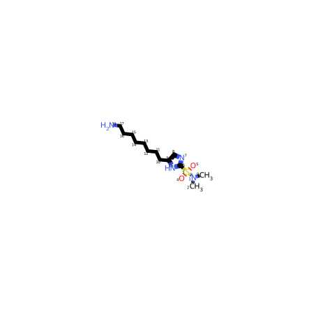 CN(C)S(=O)(=O)c1ncc(CCCCCCCCN)[nH]1